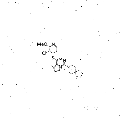 COc1nccc(Sc2cnc(N3CCC4(CCCC4)CC3)n3ccnc23)c1Cl